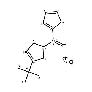 [CH2]=[Zr+2]([C]1=CC=CC1)[C]1=CC(C(C)(C)C)=CC1.[Cl-].[Cl-]